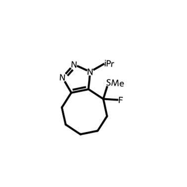 CSC1(F)CCCCCc2nnn(C(C)C)c21